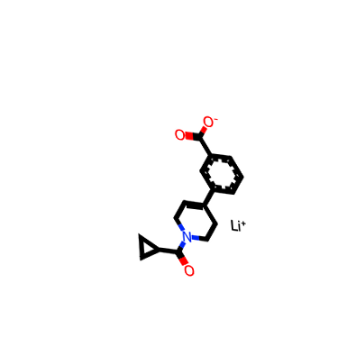 O=C([O-])c1cccc(C2=CCN(C(=O)C3CC3)CC2)c1.[Li+]